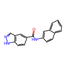 O=C(Nc1ccc2ccccc2c1)c1ccc2[nH]ncc2c1